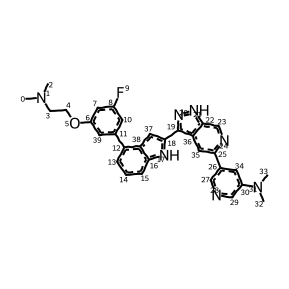 CN(C)CCOc1cc(F)cc(-c2cccc3[nH]c(-c4n[nH]c5cnc(-c6cncc(N(C)C)c6)cc45)cc23)c1